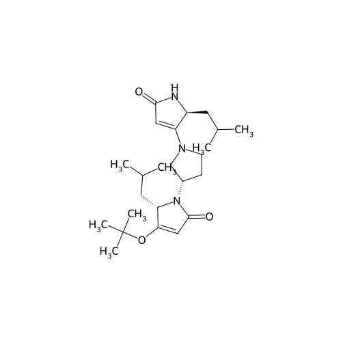 CC(C)C[C@@H]1NC(=O)C=C1N1CC[C@H](N2C(=O)C=C(OC(C)(C)C)[C@@H]2CC(C)C)C1